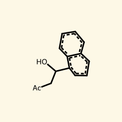 CC(=O)CC(O)c1cccc2ccccc12